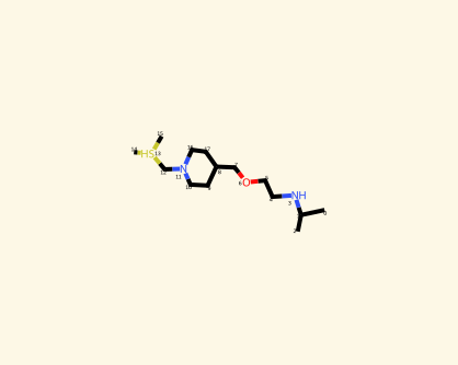 CC(C)NCCOCC1CCN(C[SH](C)C)CC1